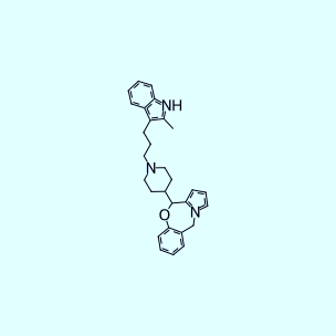 Cc1[nH]c2ccccc2c1CCCN1CCC(C2Oc3ccccc3Cn3cccc32)CC1